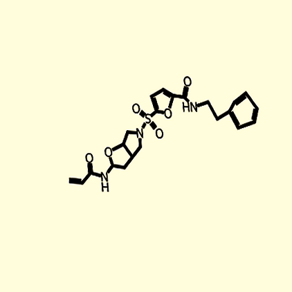 C=CC(=O)NC1CC2CN(S(=O)(=O)c3ccc(C(=O)NCCc4ccccc4)o3)CC2O1